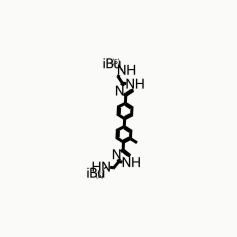 CC[C@H](C)NCc1nc(-c2ccc(-c3ccc(-c4c[nH]c(CN[C@@H](C)CC)n4)c(C)c3)cc2)c[nH]1